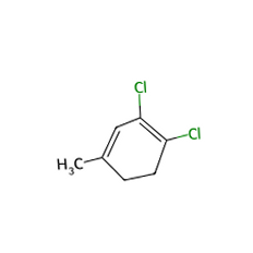 CC1=CC(Cl)=C(Cl)CC1